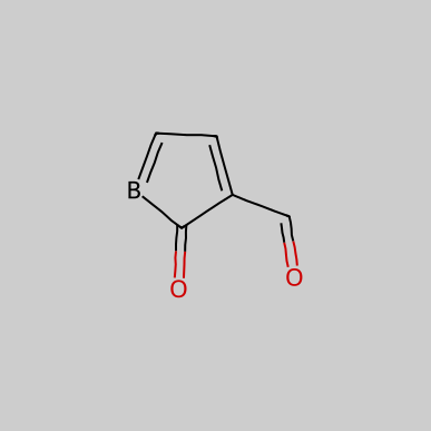 O=CC1=CC=BC1=O